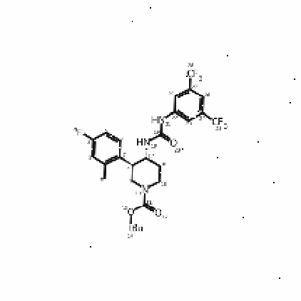 Cc1cc(F)ccc1[C@@H]1CN(C(=O)OC(C)(C)C)CC[C@H]1NC(=O)Nc1cc(C(F)(F)F)cc(C(F)(F)F)c1